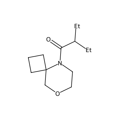 CCC(CC)C(=O)N1CCOCC12CCC2